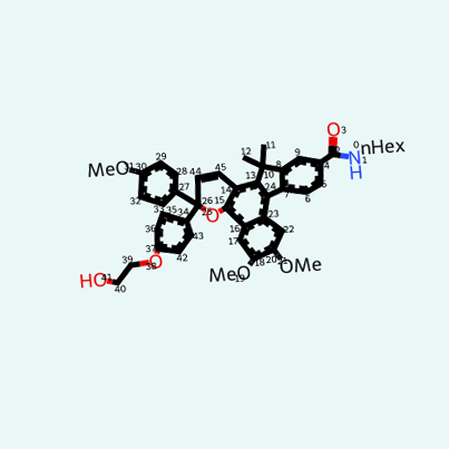 CCCCCCNC(=O)c1ccc2c(c1)C(C)(C)c1c3c(c4cc(OC)c(OC)cc4c1-2)OC(c1ccc(OC)cc1)(c1ccc(OCCO)cc1)C=C3